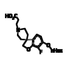 CCCCCCOc1ccc2c(c1F)OCC21CCN(CCC(=O)O)CC1